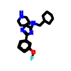 FOc1cccc(C2=NC3(CCNCC3)C(NCC3CCCCC3)=N2)c1